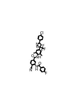 Cc1cc(C2(C(F)(F)F)CC(c3ccc(Cl)cc3)=NO2)cc(C)c1NC(=O)c1ccc(C#N)c(NC(=O)c2ccc(F)cc2)c1